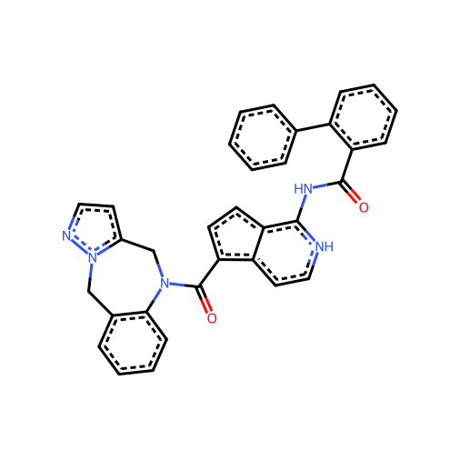 O=C(Nc1[nH]ccc2c(C(=O)N3Cc4ccnn4Cc4ccccc43)ccc1-2)c1ccccc1-c1ccccc1